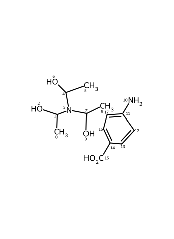 CC(O)N(C(C)O)C(C)O.Nc1ccc(C(=O)O)cc1